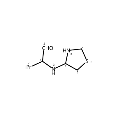 CC(C)C([C]=O)NC1CSCN1